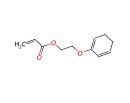 C=CC(=O)OCCOC1=CCCC=C1